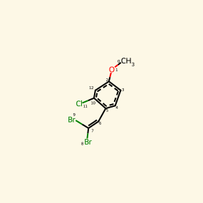 COc1ccc(C=C(Br)Br)c(Cl)c1